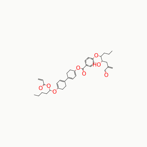 C=CC(=O)OC(CCCC)OC1=CC=C(C2=CC=C(OC(=O)c3ccc(OC(CCC)C(O)CC(=C)C=O)cc3)CC2)CC1